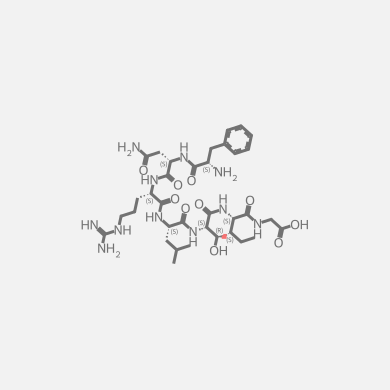 CC[C@H](C)[C@H](NC(=O)[C@@H](NC(=O)[C@H](CC(C)C)NC(=O)[C@H](CCCNC(=N)N)NC(=O)[C@H](CC(N)=O)NC(=O)[C@@H](N)Cc1ccccc1)[C@@H](C)O)C(=O)NCC(=O)O